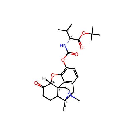 CC(C)[C@@H](NC(=O)Oc1ccc2c3c1O[C@H]1C(=O)CCC4[C@@H](C2)N(C)CC[C@@]341)C(=O)OC(C)(C)C